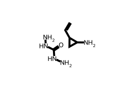 C=CC1CC1N.NNC(=O)NN